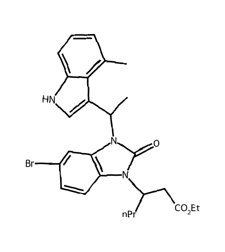 CCCC(CC(=O)OCC)n1c(=O)n(C(C)c2c[nH]c3cccc(C)c23)c2cc(Br)ccc21